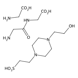 NCC(=O)NCC(=O)O.NCC(=O)O.O=S(=O)(O)CCN1CCN(CCO)CC1